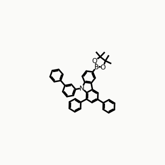 CC1(C)OB(c2ccc3c(c2)c2cc(-c4ccccc4)cc(-c4ccccc4)c2n3-c2cccc(-c3ccccc3)c2)OC1(C)C